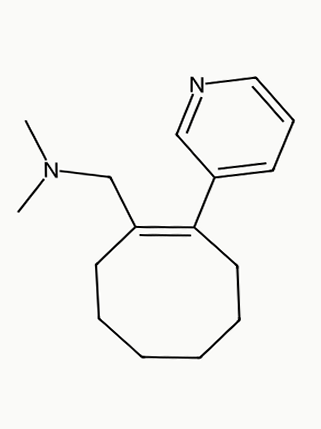 CN(C)C/C1=C(\c2cccnc2)CCCCCC1